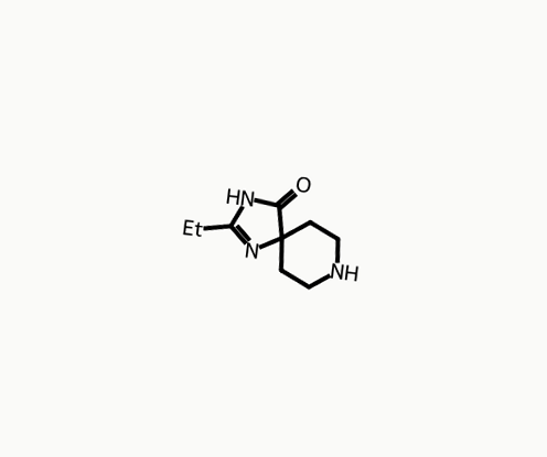 CCC1=NC2(CCNCC2)C(=O)N1